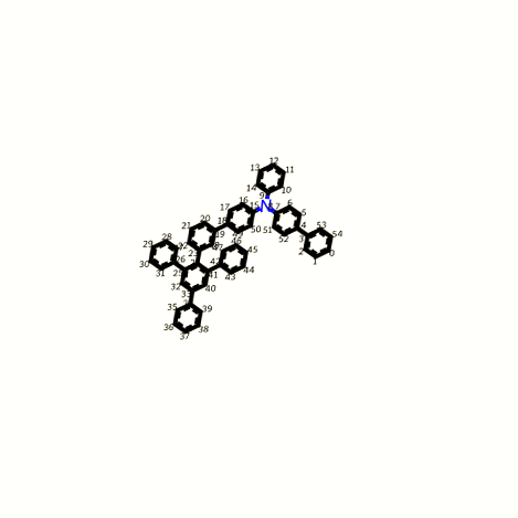 c1ccc(-c2ccc(N(c3ccccc3)c3ccc(-c4cccc(-c5c(-c6ccccc6)cc(-c6ccccc6)cc5-c5ccccc5)c4)cc3)cc2)cc1